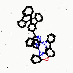 c1ccc(N2c3ccccc3Oc3ccc4c5ccccc5n(-c5nc(-c6ccc7c(c6)-c6ccccc6C76c7ccccc7-c7ccccc76)c6ccccc6n5)c4c32)cc1